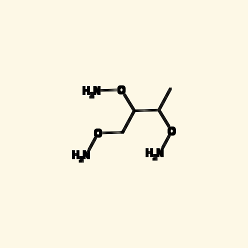 CC(ON)C(CON)ON